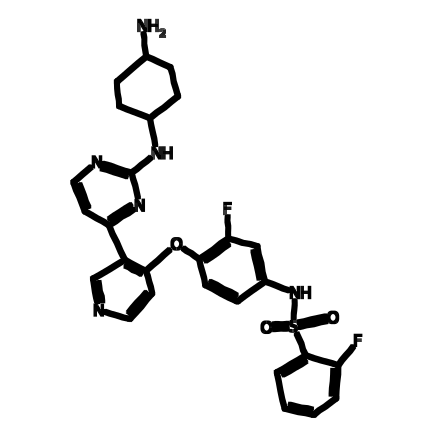 NC1CCC(Nc2nccc(-c3cnccc3Oc3ccc(NS(=O)(=O)c4ccccc4F)cc3F)n2)CC1